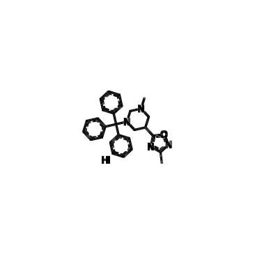 Cc1noc(C2CN(C)CN(C(c3ccccc3)(c3ccccc3)c3ccccc3)C2)n1.I